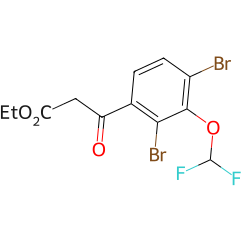 CCOC(=O)CC(=O)c1ccc(Br)c(OC(F)F)c1Br